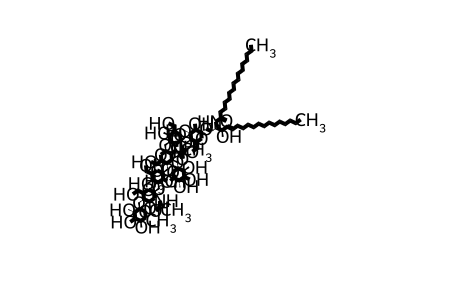 CCCCCCCCCCCCC/C=C/[C@@H](O)[C@H](CO[C@@H]1OC(CO)[C@@H](O[C@@H]2OC(CO)[C@H](O)[C@H](O[C@@H]3OC(CO)[C@@H](O[C@@H]4OC(CO)[C@H](O)[C@H](O[C@@H]5OC(CO)[C@@H](O[C@H]6OC(C)[C@@H](O)C(O)[C@@H]6O)[C@H](O)C5NC(C)=O)C4O)[C@H](O[C@H]4OC(C)[C@@H](O)C(O)[C@@H]4O)C3NC(C)=O)C2O)[C@H](O)C1O)NC(=O)CCCCCCCCCCCCCCC